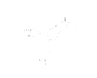 CCS(=O)(=O)Cc1ccc(OCC2CC2)c(B2OC(C)(C)C(C)(C)O2)c1